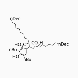 CCCCCCCCCCCCCCCCCCC(c1cc(CCCC)c(O)c(CCCC)c1)C(CCCCCCCCCCCCCCCCCC)(C(=O)O)C(=O)O